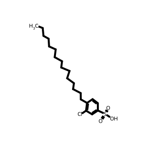 CCCCCCCCCCCCCCCc1ccc(S(=O)(=O)O)cc1Cl